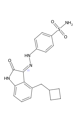 NS(=O)(=O)c1ccc(N/N=C2\C(=O)Nc3cccc(CC4CCC4)c32)cc1